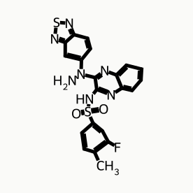 Cc1ccc(S(=O)(=O)Nc2nc3ccccc3nc2N(N)c2ccc3nsnc3c2)cc1F